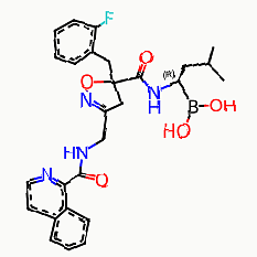 CC(C)C[C@H](NC(=O)C1(Cc2ccccc2F)CC(CNC(=O)c2nccc3ccccc23)=NO1)B(O)O